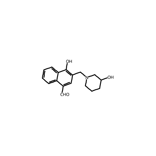 O=Cc1cc(CN2CCCC(O)C2)c(O)c2ccccc12